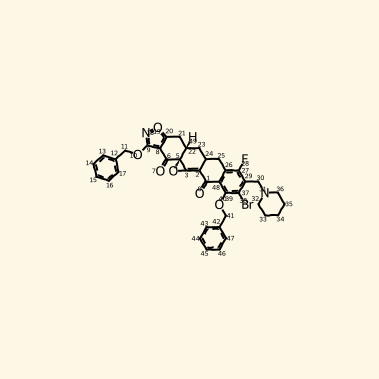 O=C1C2=C3O[C@]34C(=O)c3c(OCc5ccccc5)noc3C[C@@H]4CC2Cc2c(F)c(CN3CCCCC3)c(Br)c(OCc3ccccc3)c21